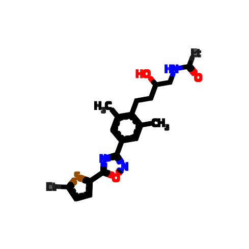 CCC(=O)NCC(O)CCc1c(C)cc(-c2noc(-c3ccc(CC)s3)n2)cc1C